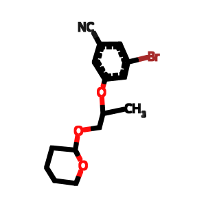 CC(COC1CCCCO1)Oc1cc(Br)cc(C#N)c1